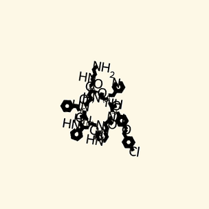 NCCNC(=O)O[C@@H]1C[C@H]2C(=O)N[C@@H](CCc3ccccc3)C(=O)N[C@H](Cc3c[nH]c4ccccc34)C(=O)NC(CN3CCNCC3)C(=O)N[C@@H](Cc3ccc(OCc4ccc(Cl)cc4)cc3)C(=O)N[C@@H](CCc3cccnc3)C(=O)N2C1